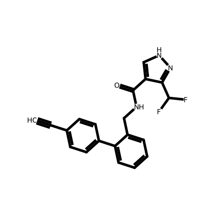 C#Cc1ccc(-c2ccccc2CNC(=O)c2c[nH]nc2C(F)F)cc1